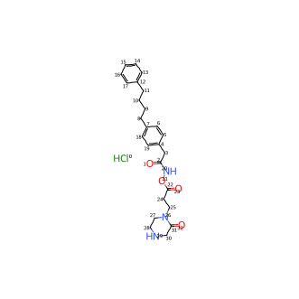 Cl.O=C(Cc1ccc(CCCCc2ccccc2)cc1)NOC(=O)CCN1CCNCC1=O